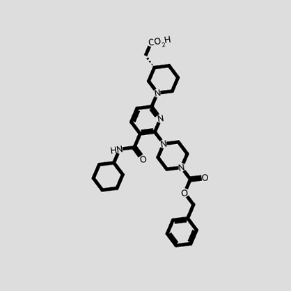 O=C(O)C[C@@H]1CCCN(c2ccc(C(=O)NC3CCCCC3)c(N3CCN(C(=O)OCc4ccccc4)CC3)n2)C1